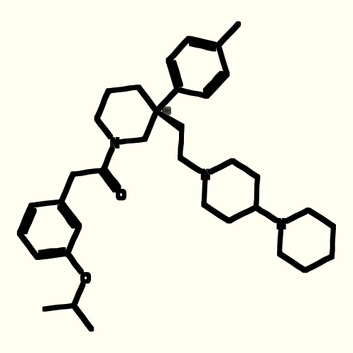 Cc1ccc([C@@]2(CCN3CCC(N4CCCCC4)CC3)CCCN(C(=O)Cc3cccc(OC(C)C)c3)C2)cc1